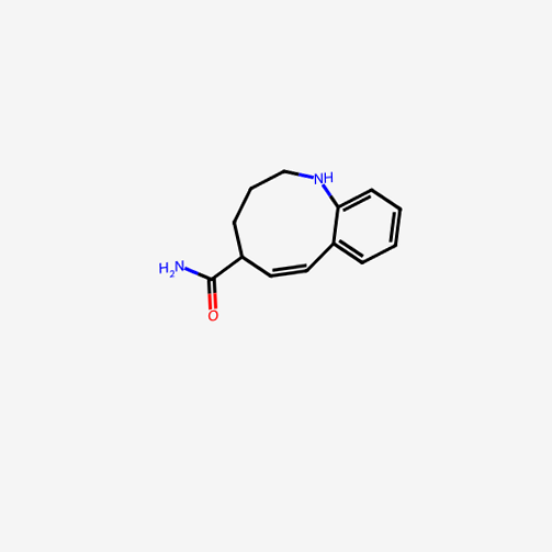 NC(=O)C1C=Cc2ccccc2NCCC1